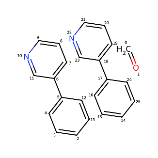 C=O.c1ccc(-c2cccnc2)cc1.c1ccc(-c2cccnc2)cc1